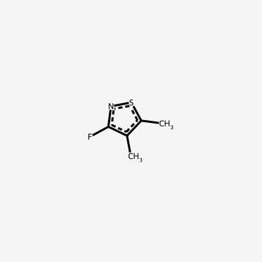 Cc1snc(F)c1C